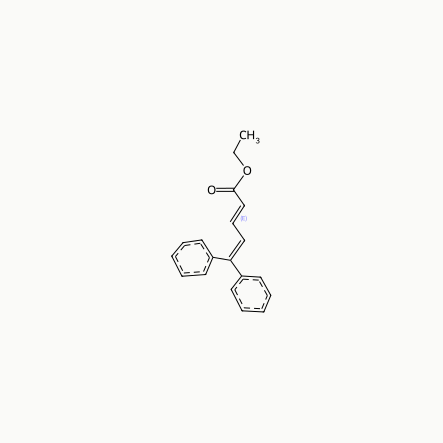 CCOC(=O)/C=C/C=C(c1ccccc1)c1ccccc1